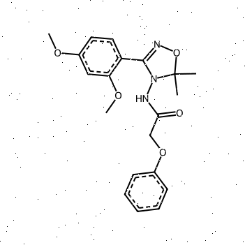 COc1ccc(C2=NOC(C)(C)N2NC(=O)COc2ccccc2)c(OC)c1